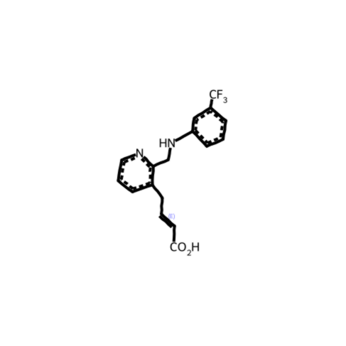 O=C(O)/C=C/Cc1cccnc1CNc1cccc(C(F)(F)F)c1